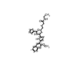 CCNC(=O)CCCCCC(NC(=O)c1cncs1)c1ncc(-c2cc3ccccc3nc2OC)[nH]1